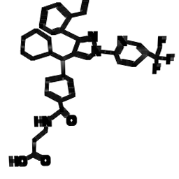 C=Cc1ccccc1-c1nn(-c2ccc(C(F)(F)F)cn2)cc1C(c1ccc(C(=O)NCCC(=O)O)cc1)C1CCCCC1